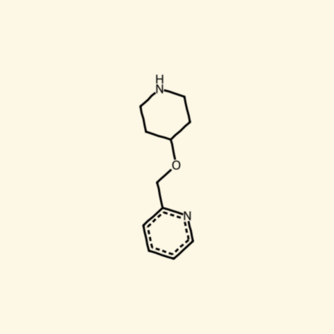 c1ccc(COC2CCNCC2)nc1